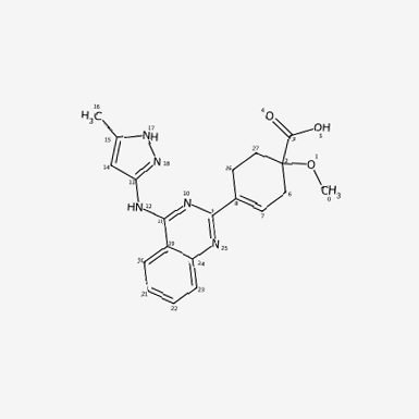 COC1(C(=O)O)CC=C(c2nc(Nc3cc(C)[nH]n3)c3ccccc3n2)CC1